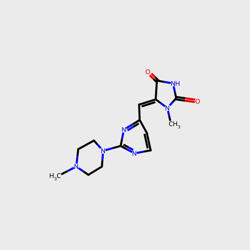 CN1CCN(c2nccc(/C=C3/C(=O)NC(=O)N3C)n2)CC1